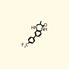 CC1CNc2cc(-c3ccc(C(F)(F)F)cc3)ccc2NC1=O